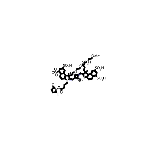 CC[N+]1=C(/C=C2\C(=O)C(/C=C3/N(CCCC(=O)ON4C(=O)CCC4=O)c4ccc5c(S(=O)(=O)[O-])cc(S(=O)(=O)O)cc5c4C3(C)CCOCCOCCOCCOC)=C2O)C(C)(CCCS(=O)(=O)O)c2c1ccc1c(S(=O)(=O)O)cc(S(=O)(=O)O)cc21